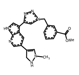 COC(=O)c1cccc(Cn2cc(-c3c[nH]c4ncc(C5=CN(C)NC5)cc34)nn2)c1